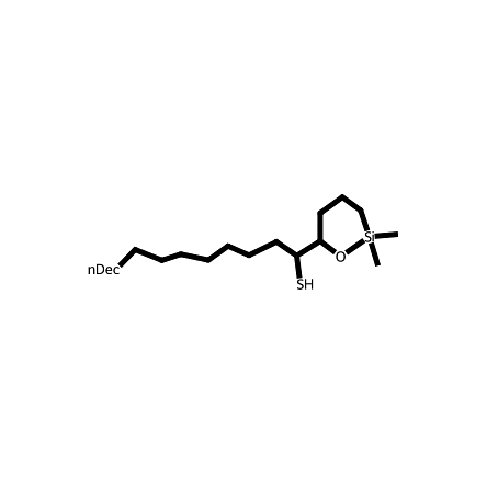 CCCCCCCCCCCCCCCCCC(S)C1CCC[Si](C)(C)O1